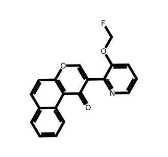 O=c1c(-c2ncccc2OCF)coc2ccc3ccccc3c12